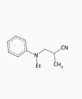 CCN(CC(C)C#N)c1ccccc1